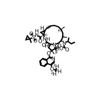 [2H]C([2H])([2H])Oc1cnc(O[C@]2(C)C[C@H]3C(=O)N[C@]4(C(=O)NS(=O)(=O)C5(C)CC5)C[C@H]4/C=C\CC[C@@H](C)C[C@@H](C)[C@H](N(C(=O)O)C(C)CC)C(=O)N3C2(F)F)c2ccccc12